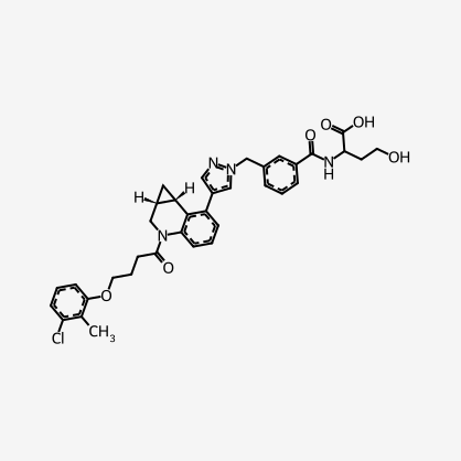 Cc1c(Cl)cccc1OCCCC(=O)N1C[C@@H]2C[C@@H]2c2c(-c3cnn(Cc4cccc(C(=O)NC(CCO)C(=O)O)c4)c3)cccc21